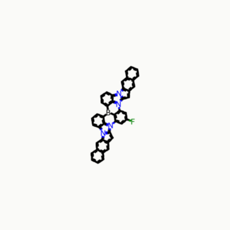 Fc1cc2c3c(c1)-n1c4c(cccc4n4c5cc6ccccc6cc5cc14)B3c1cccc3c1n-2c1cc2cc4ccccc4cc2n31